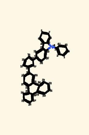 c1ccc(-n2c3ccccc3c3cc(-c4cccc(-c5ccc6c7ccccc7c7ccccc7c6c5)c4)ccc32)cc1